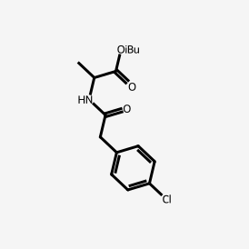 CC(C)COC(=O)C(C)NC(=O)Cc1ccc(Cl)cc1